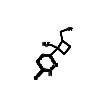 CC(C)CC1CCC1(C)c1ccc(=O)[nH]n1